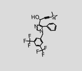 C[Si](C)(C)C#CC(O)c1ncn(Cc2cc(C(F)(F)F)cc(C(F)(F)F)c2)c1-c1ccccc1